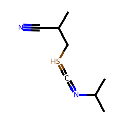 CC(C#N)C[SH]=C=NC(C)C